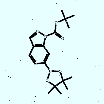 CC(C)(C)OC(=O)n1ncc2ccc(B3OC(C)(C)C(C)(C)O3)cc21